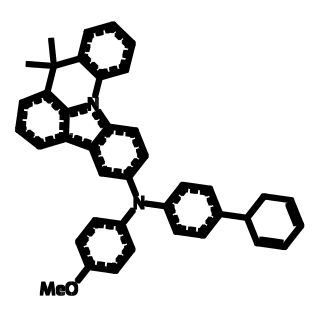 COc1ccc(N(c2ccc(C3C=CC=CC3)cc2)c2ccc3c(c2)c2cccc4c2n3-c2ccccc2C4(C)C)cc1